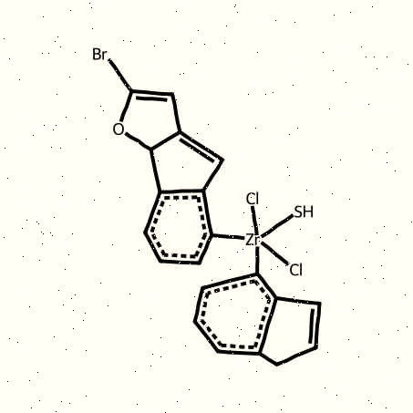 [SH][Zr]([Cl])([Cl])([c]1cccc2c1C=CC2)[c]1cccc2c1C=C1C=C(Br)OC12